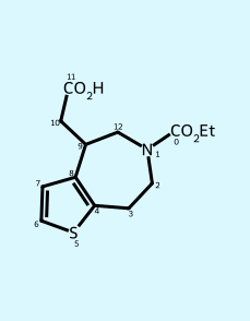 CCOC(=O)N1CCc2sccc2C(CC(=O)O)C1